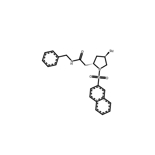 O=C(C[C@@H]1C[C@@H](S)CN1S(=O)(=O)c1ccc2ccccc2c1)NCc1ccccc1